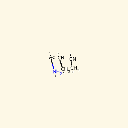 CC#N.CC#N.CC(N)=O